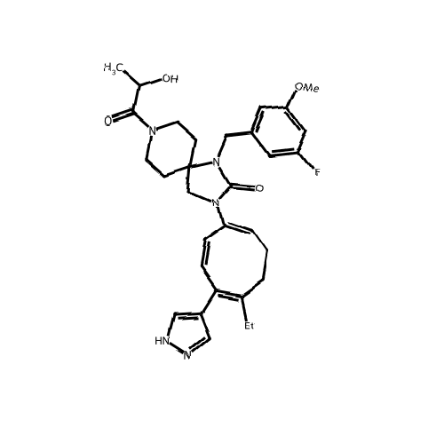 CC/C1=C(c2cn[nH]c2)/C=C\C(N2CC3(CCN(C(=O)C(C)O)CC3)N(Cc3cc(F)cc(OC)c3)C2=O)=C/CC1